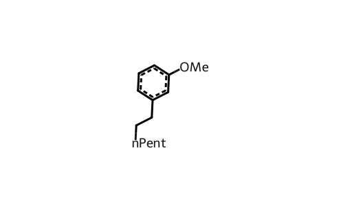 CCCCCCCc1cccc(OC)c1